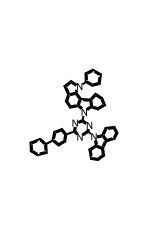 c1ccc(-c2ccc(-c3nc(-n4c5ccccc5c5ccccc54)nc(-n4c5ccccc5c5c6c(ccc54)ccn6-c4ccccc4)n3)cc2)cc1